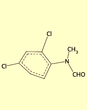 CN(C=O)c1ccc(Cl)cc1Cl